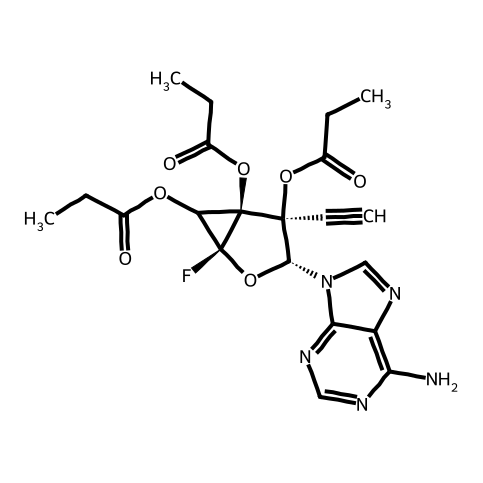 C#C[C@]1(OC(=O)CC)[C@H](n2cnc3c(N)ncnc32)O[C@]2(F)C(OC(=O)CC)[C@]12OC(=O)CC